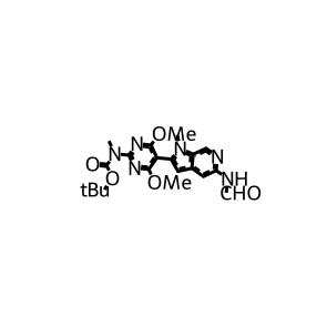 COc1nc(N(C)C(=O)OC(C)(C)C)nc(OC)c1-c1cc2cc(NC=O)ncc2n1C